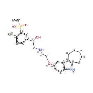 CNS(=O)(=O)c1cc(C(O)CNCCOc2ccc3[nH]c4c(c3c2)CCCCC4)ccc1Cl